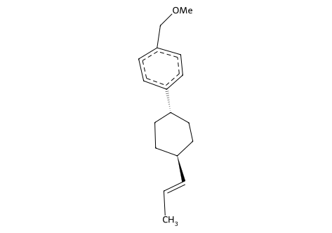 CC=C[C@H]1CC[C@H](c2ccc(COC)cc2)CC1